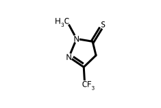 CN1N=C(C(F)(F)F)CC1=S